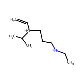 C=C[SiH](CCCNCC)C(C)C